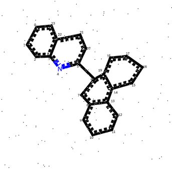 c1ccc2nc(-c3cc4ccccc4c4ccccc34)ccc2c1